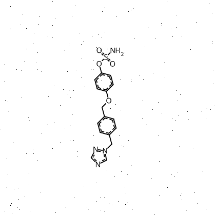 NS(=O)(=O)Oc1ccc(OCc2ccc(Cn3cncn3)cc2)cc1